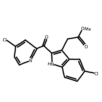 COC(=O)Cc1c(C(=O)c2cc(Cl)ccn2)[nH]c2ccc(Cl)cc12